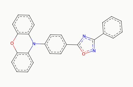 c1ccc(-c2noc(-c3ccc(N4c5ccccc5Oc5ccccc54)cc3)n2)cc1